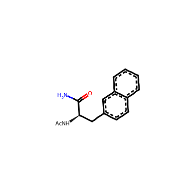 CC(=O)N[C@H](Cc1ccc2ccccc2c1)C(N)=O